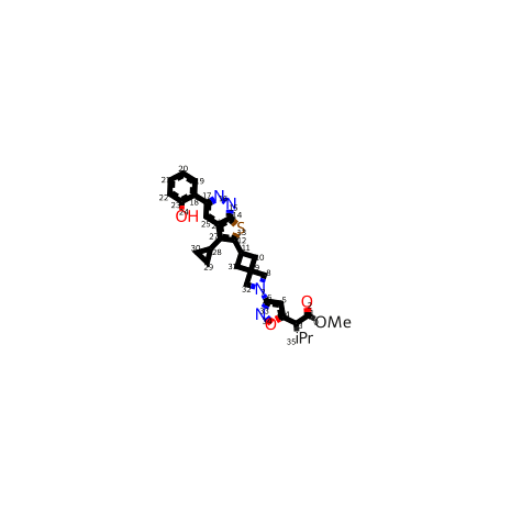 COC(=O)C(c1cc(N2CC3(CC(c4sc5nnc(-c6ccccc6O)cc5c4C4CC4)C3)C2)no1)C(C)C